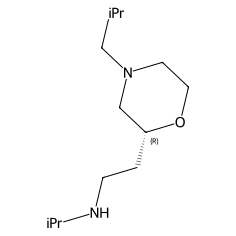 CC(C)CN1CCO[C@H](CCNC(C)C)C1